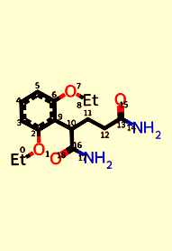 CCOc1cccc(OCC)c1C(CCC(N)=O)C(N)=O